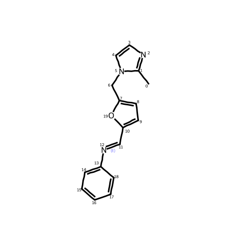 Cc1nccn1Cc1ccc(/C=N/c2ccccc2)o1